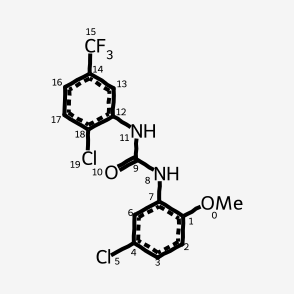 COc1ccc(Cl)cc1NC(=O)Nc1cc(C(F)(F)F)ccc1Cl